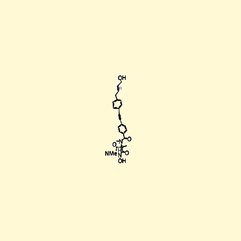 CNC(=O)[C@@](C)(C(=O)NO)N(C)C(=O)c1ccc(C#Cc2ccc(C/C=C/CO)cc2)cc1